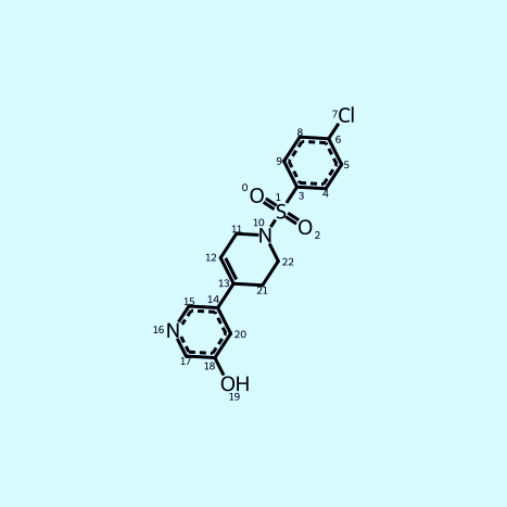 O=S(=O)(c1ccc(Cl)cc1)N1CC=C(c2cncc(O)c2)CC1